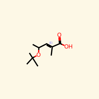 C/C(=C\C(C)OC(C)(C)C)C(=O)O